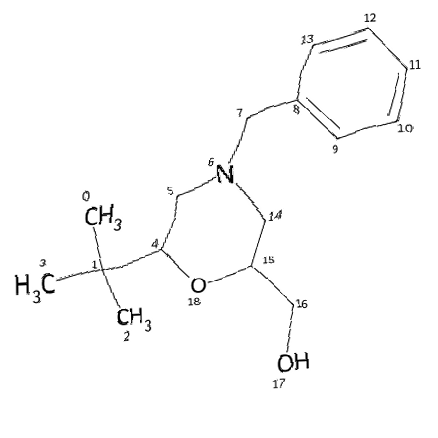 CC(C)(C)C1CN(Cc2ccccc2)CC(CO)O1